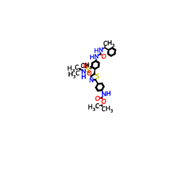 CC(C)OC(=O)Nc1ccc(-c2ncc(-c3ccc(NC(=O)N[C@@H](C)c4ccccc4)cc3S(=O)(=O)NC(C)(C)C)s2)cc1